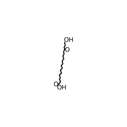 O=C(O)CCCCCCCCCCCCCCC(=O)CCCO